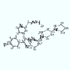 NCc1cc(-c2c(-c3ccc(F)cc3)nc3ccc(N4CCC(N5CCCC5)CC4)nn23)ccn1